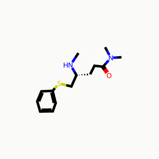 CN[C@H](CCC(=O)N(C)C)CSc1ccccc1